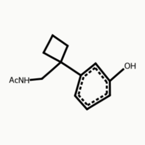 CC(=O)NCC1(c2cccc(O)c2)CCC1